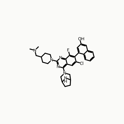 CN(C)CC1CCN(c2nc(N3CC4CCC(C3)N4)c3cc(Cl)c(-c4cc(O)cc5ccccc45)c(F)c3n2)CC1